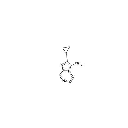 Nc1c(C2CC2)nc2cnccn12